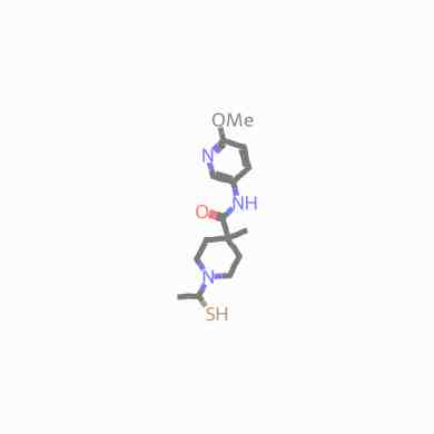 COc1ccc(NC(=O)C2(C)CCN(C(C)S)CC2)cn1